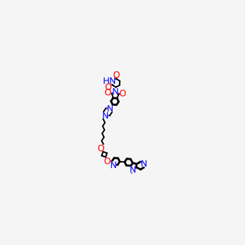 Cn1c2ccncc2c2ccc(-c3ccc(O[C@H]4C[C@H](OCCCCCCCCN5CCN(c6ccc7c(c6)C(=O)N(C6CCC(=O)NC6=O)C7=O)CC5)C4)nc3)cc21